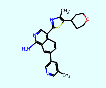 [CH2]c1nc(-c2cnc(N)c3cc(-c4cncc(C)c4)ccc23)sc1C1CCOCC1